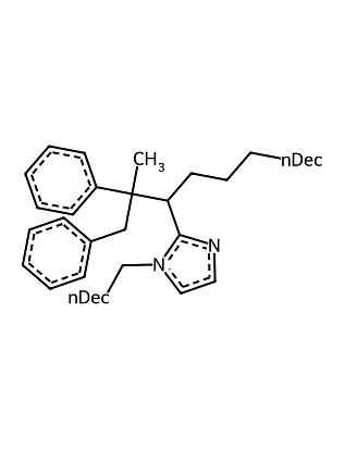 CCCCCCCCCCCCCC(c1nccn1CCCCCCCCCCC)C(C)(Cc1ccccc1)c1ccccc1